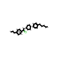 CCCCCc1ccc([C@H]2CC[C@H](CC(Cl)C34CCC(CCC)(CC3)CC4)CC2)cc1